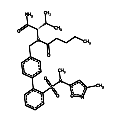 CCCCC(=O)N(Cc1ccc(-c2ccccc2S(=O)(=O)N(C)c2cc(C)no2)cc1)[C@H](C(N)=O)C(C)C